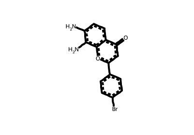 Nc1ccc2c(=O)cc(-c3ccc(Br)cc3)oc2c1N